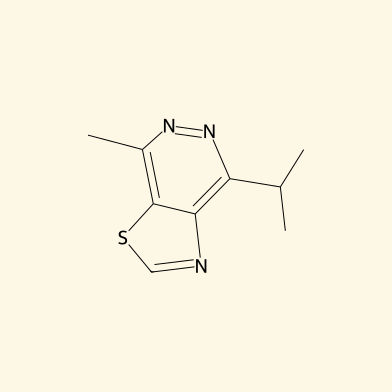 Cc1nnc(C(C)C)c2ncsc12